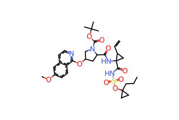 C=CC1CC1(NC(=O)C1CC(Oc2nccc3cc(OC)ccc23)CN1C(=O)OC(C)(C)C)C(=O)NS(=O)(=O)OC1(CCC)CC1